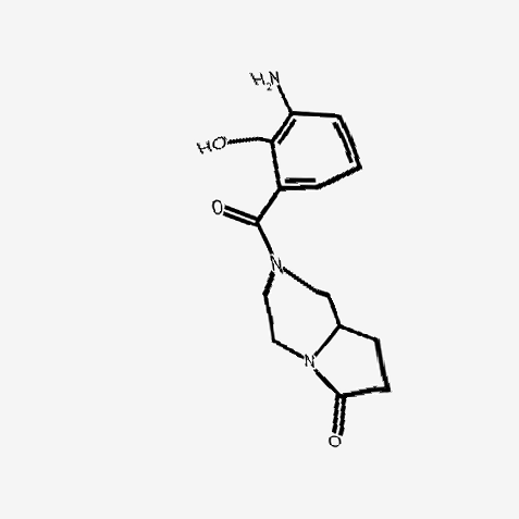 Nc1cccc(C(=O)N2CCN3C(=O)CCC3C2)c1O